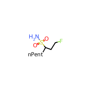 CCCCCC(CCF)S(N)(=O)=O